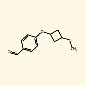 COC1CC(Oc2ccc(C=O)cc2)C1